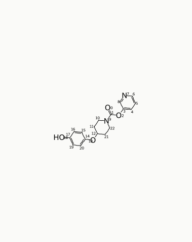 O=C(Oc1cccnc1)N1CCC(Oc2ccc(O)cc2)CC1